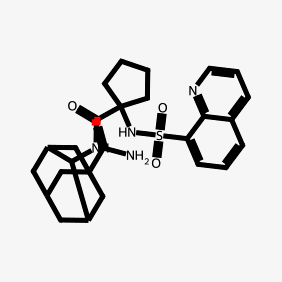 NC(=O)C12CC3CC(C1)C(NC(=O)C1(NS(=O)(=O)c4cccc5cccnc45)CCCC1)C(C3)C2